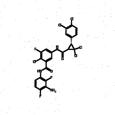 Nc1c(F)ccc(NC(=O)c2cc(NC(=O)C3[C@H](c4ccc(Cl)c(Cl)c4)C3(Cl)Cl)cc(F)c2Cl)c1F